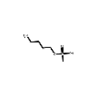 CP(=O)(O)OCCCCN